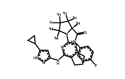 [2H]C1([2H])N(c2nc3c(c(Nc4cc(C5CC5)[nH]n4)n2)CCC3)[C@@]([2H])(C(=O)Nc2ccc(F)nc2)C([2H])([2H])C1([2H])[2H]